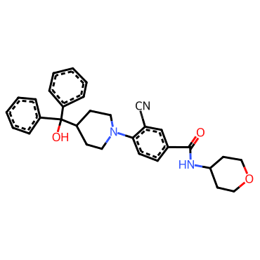 N#Cc1cc(C(=O)NC2CCOCC2)ccc1N1CCC(C(O)(c2ccccc2)c2ccccc2)CC1